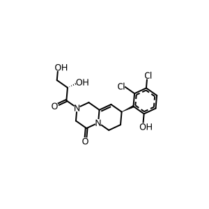 O=C([C@@H](O)CO)N1CC(=O)N2CC[C@H](c3c(O)ccc(Cl)c3Cl)C=C2C1